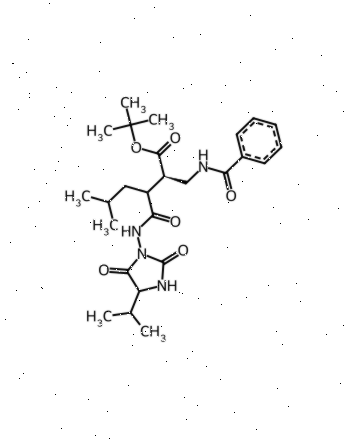 CC(C)CC(C(=O)NN1C(=O)NC(C(C)C)C1=O)[C@H](CNC(=O)c1ccccc1)C(=O)OC(C)(C)C